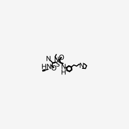 C#CCNC(=O)C(C#N)=c1sc(=CNc2cccc(CCCN3CCCC3)c2)c(=O)n1CC